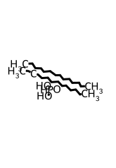 CCCCCCCCCCCCCC.CCCCCCCCCCCCCC.O=[PH](O)O